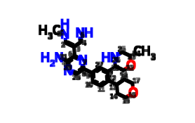 CN/C=C(\C=N)c1nc(-c2ccc(C3CCOCC3)c([C@@H]3CO[C@@H](C)CN3)c2)cnc1N